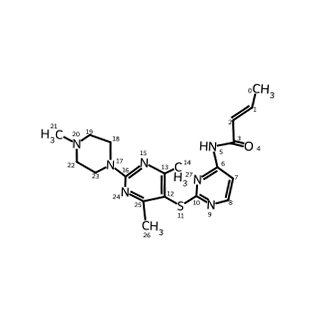 CC=CC(=O)Nc1ccnc(Sc2c(C)nc(N3CCN(C)CC3)nc2C)n1